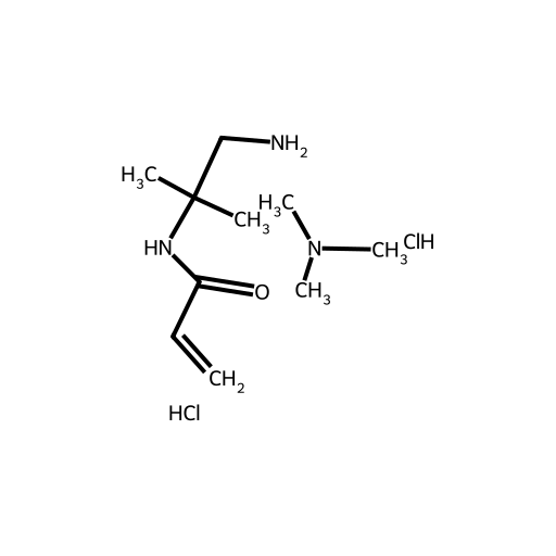 C=CC(=O)NC(C)(C)CN.CN(C)C.Cl.Cl